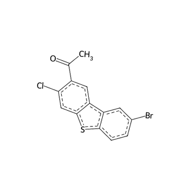 CC(=O)c1cc2c(cc1Cl)sc1ccc(Br)cc12